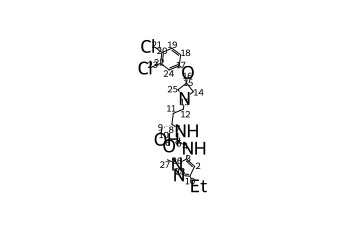 CCc1cc(NC(=O)N[C@H](CO)CCN2CC(Oc3ccc(Cl)c(Cl)c3)C2)n(C)n1